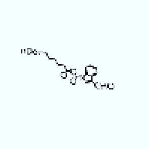 CCCCCCCCCCCCCCCC(=O)OC(=O)n1cc(C=O)c2ccccc21